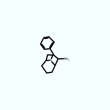 NC1CCC2CCCC1N2Cc1ccccc1